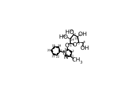 Cc1cc(OC2O[C@H](CO)[C@@H](O)[C@H](O)[C@@H]2O)n(-c2ccccc2)n1